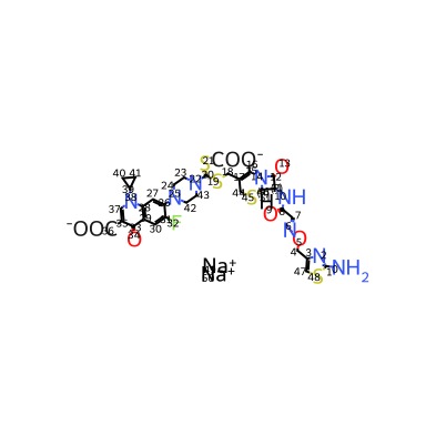 Nc1nc(CON=CC(=O)N[C@@H]2C(=O)N3C(C(=O)[O-])=C(CSC(=S)N4CCN(c5cc6c(cc5F)c(=O)c(C(=O)[O-])cn6C5CC5)CC4)CS[C@H]23)cs1.[Na+].[Na+]